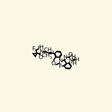 [2H]C([2H])([2H])n1c(=O)nc(N2CCOCc3c(C#CC(C)(C)NC(=O)C4(C(F)F)CC4)cccc32)c2c(F)cccc21